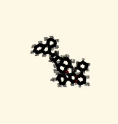 c1ccc(-c2ccccc2N(c2ccc3c4c(cccc24)-c2sc(-c4cc5ccccc5c5ccccc45)nc2-3)c2cccc3c2oc2ccccc23)cc1